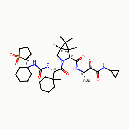 CCCC[C@H](NC(=O)[C@@H]1[C@@H]2[C@H](CN1C(=O)[C@@H](NC(=O)NC1([C@H]3CCCS3(=O)=O)CCCCC1)C1(C)CCCCC1)C2(C)C)C(=O)C(=O)NC1CC1